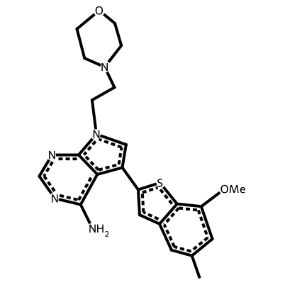 COc1cc(C)cc2cc(-c3cn(CCN4CCOCC4)c4ncnc(N)c34)sc12